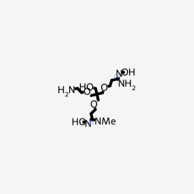 CN/C(CCOCC(CO)(COCCN)COCC/C(N)=N/O)=N/O